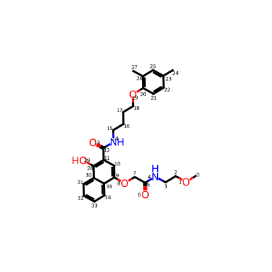 COCCNC(=O)COc1cc(C(=O)NCCCCOc2ccc(C)cc2C)c(O)c2ccccc12